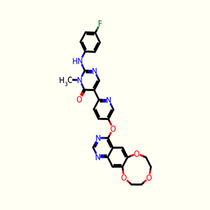 Cn1c(Nc2ccc(F)cc2)ncc(-c2ccc(Oc3ncnc4cc5c(cc34)OCCOCCO5)cn2)c1=O